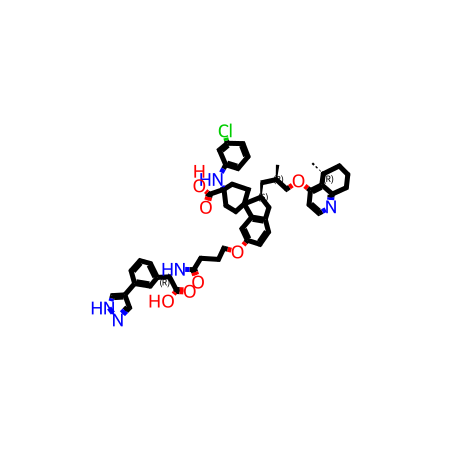 C[C@@H](COc1ccnc2c1[C@H](C)CCC2)C[C@H]1Cc2ccc(OCCCC(=O)N[C@@H](C(=O)O)c3cccc(-c4cn[nH]c4)c3)cc2C12CCC(Nc1cccc(Cl)c1)(C(=O)O)CC2